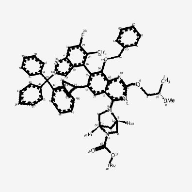 CO[C@@H](C)COc1nc(N2C[C@@H]3C[C@H]2CN3C(=O)OC(C)(C)C)c2cc(C3CC3)c(-c3c(C)c(F)cc4nn(C(c5ccccc5)(c5ccccc5)c5ccccc5)cc34)c(OCc3ccccc3)c2n1